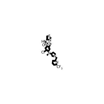 CN(c1cc(F)c(S(=O)(=O)Nc2cscn2)cc1Cl)C1CCN(Cc2cccc(C(F)(F)F)n2)C1